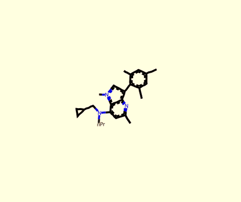 CCCN(CC1CC1)c1cc(C)nc2c(-c3c(C)cc(C)cc3C)cn(C)c12